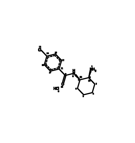 Cl.N[C@H]1CCCC[C@H]1NC(=O)c1ccc(Cl)cc1